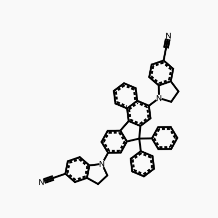 N#Cc1ccc2c(c1)CCN2c1ccc2c(c1)C(c1ccccc1)(c1ccccc1)c1cc(N3CCc4cc(C#N)ccc43)c3ccccc3c1-2